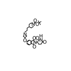 CC(C)(C)OC(=O)N1CCC(CCCN2CC(Oc3ccc4c(c3)C(=O)N(C3CCC(=O)NC3=O)C4=O)C2)CC1